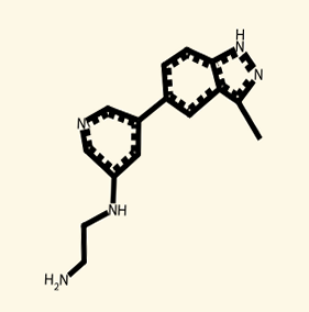 Cc1n[nH]c2ccc(-c3cncc(NCCN)c3)cc12